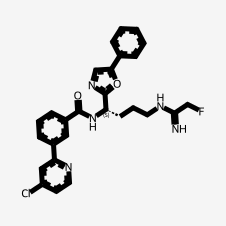 N=C(CF)NCCC[C@H](NC(=O)c1cccc(-c2cc(Cl)ccn2)c1)c1ncc(-c2ccccc2)o1